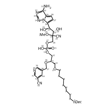 CCCCCCCCCCCCCCCCCCOC[C@H](COP(=O)(O)OCC(C#N)(OC)[C@@H](O)[C@@H](O)c1ccc2c(N)ncnn12)OCc1cncc(C#N)c1